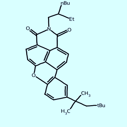 CCCCC(CC)Cn1c(=O)c2ccc3oc4ccc(C(C)(C)CC(C)(C)C)cc4c4ccc(c1=O)c2c34